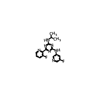 CC(C)Nc1nc(Nc2cncc(F)c2)nc(-c2ncccc2F)n1